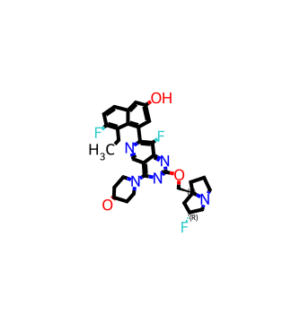 CCc1c(F)ccc2cc(O)cc(-c3ncc4c(N5CCC(=O)CC5)nc(OC[C@@]56CCCN5C[C@H](F)C6)nc4c3F)c12